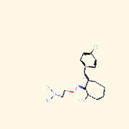 CCCC1CCCCC(=C\c2ccc(Cl)cc2)/C1=N/OCCN(CC)CC